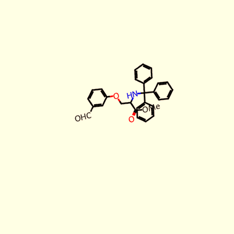 COC(=O)C(COc1cccc(C=O)c1)NC(c1ccccc1)(c1ccccc1)c1ccccc1